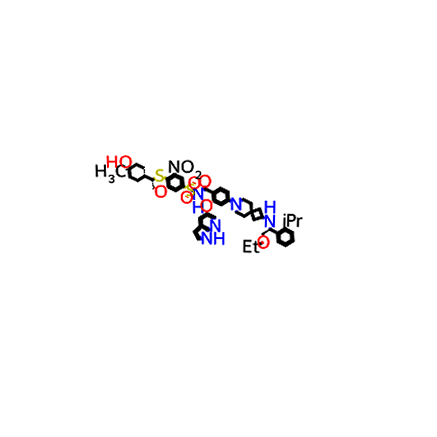 CCOC[C@@H](NC1CC2(CCN(c3ccc(C(=O)NS(=O)(=O)c4cc5c(c([N+](=O)[O-])c4)S[C@@H]([C@H]4CC[C@](C)(O)CC4)CO5)c(Oc4cnc5[nH]ccc5c4)c3)CC2)C1)c1ccccc1C(C)C